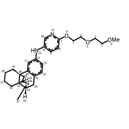 COCCOCCOc1ccc(Nc2ccc3c(c2)[C@@]24CCCC[C@H]2[C@@H](C3)N(C)CC4)cn1